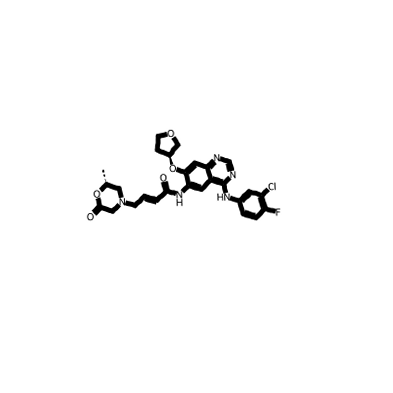 C[C@@H]1CN(CC=CC(=O)Nc2cc3c(Nc4ccc(F)c(Cl)c4)ncnc3cc2O[C@H]2CCOC2)CC(=O)O1